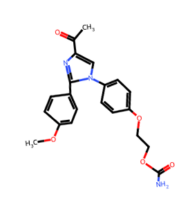 COc1ccc(-c2nc(C(C)=O)cn2-c2ccc(OCCOC(N)=O)cc2)cc1